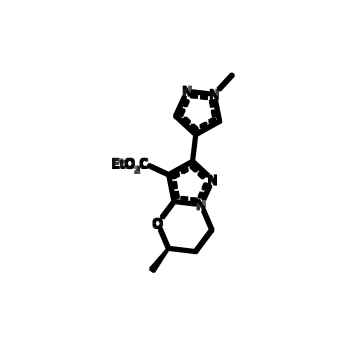 CCOC(=O)c1c(-c2cnn(C)c2)nn2c1O[C@H](C)CC2